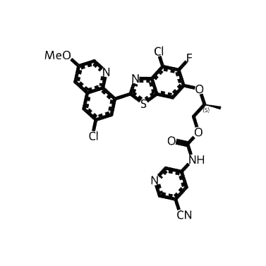 COc1cnc2c(-c3nc4c(Cl)c(F)c(O[C@@H](C)COC(=O)Nc5cncc(C#N)c5)cc4s3)cc(Cl)cc2c1